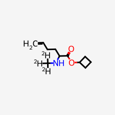 [2H]C([2H])([2H])NC(CCC=C)C(=O)OC1CCC1